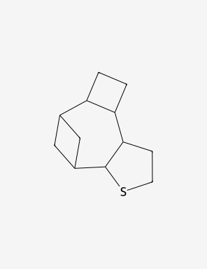 C1CC2C3CCC3C3CC(C3)C2S1